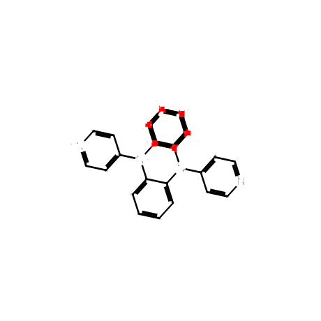 c1ccc(N(c2ccncc2)c2ccncc2)c(N(c2ccncc2)c2ccncc2)c1